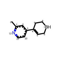 Cc1cc(C2=CCBCC2)ccn1